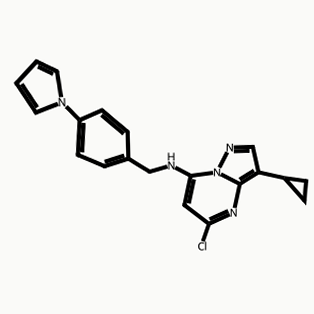 Clc1cc(NCc2ccc(-n3cccc3)cc2)n2ncc(C3CC3)c2n1